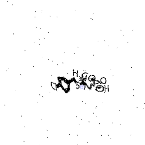 C/C(=N\P(=O)(O)O)SCc1ccc(Cl)cc1